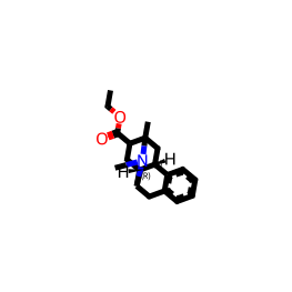 CCOC(=O)C1C[C@H]2C3Cc4ccccc4[C@H]2CC1(C)N3C